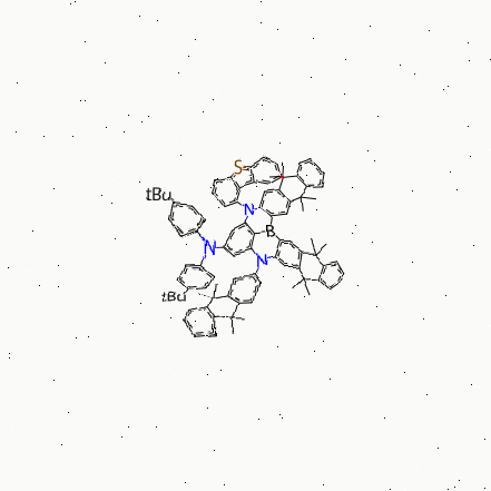 CC(C)(C)c1ccc(N(c2ccc(C(C)(C)C)cc2)c2cc3c4c(c2)N(c2cccc5sc6ccccc6c25)c2cc5c(cc2B4c2cc4c(cc2N3c2ccc3c(c2)C(C)(C)c2ccccc2C3(C)C)C(C)(C)c2ccccc2C4(C)C)C(C)(C)c2ccccc2C5(C)C)cc1